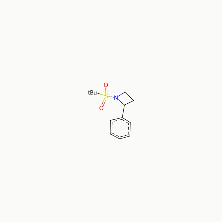 CC(C)(C)S(=O)(=O)N1CCC1c1ccccc1